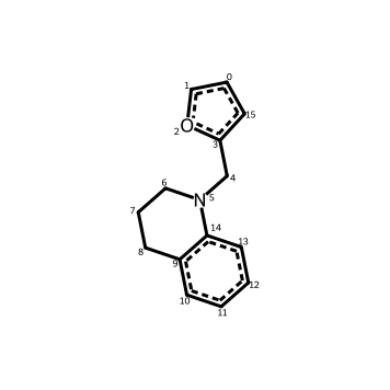 c1coc(CN2CCCc3ccccc32)c1